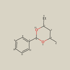 CCC1CC(C)OC(c2ccccc2)O1